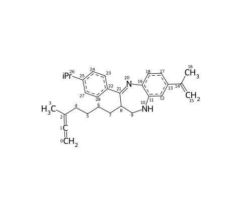 C=C=C(C)CCCCC1CNc2cc(C(=C)C)ccc2N=C1c1ccc(C(C)C)cc1